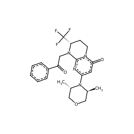 C[C@H]1COC[C@H](C)N1c1cc(=O)n2c(n1)N(CC(=O)c1ccccc1)[C@H](C(F)(F)F)CC2